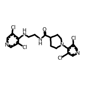 O=C(NCCNc1c(Cl)cncc1Cl)C1CCN(c2c(Cl)cncc2Cl)CC1